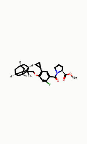 CC(C)(C)OC(=O)[C@@H]1CCCN1C(=O)c1cc(C2CC2)c(OCC2(C#N)[C@H]3C[C@H]4C[C@H](C3)C[C@H]2C4)cc1F